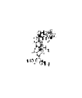 CC[C@H](CC[C@@H](C)[C@H]1CCC2C3CCC4C[C@@H](C(CO)C(=O)O)CC[C@]4(C)C3CC[C@@]21C)C(C)C